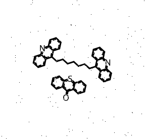 O=c1c2ccccc2sc2ccccc12.c1ccc2c(CCCCCCCc3c4ccccc4nc4ccccc34)c3ccccc3nc2c1